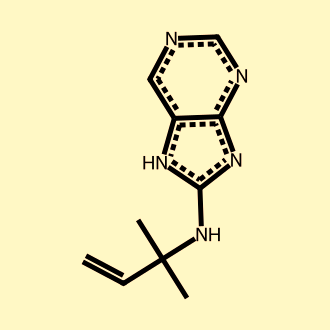 C=CC(C)(C)Nc1nc2ncncc2[nH]1